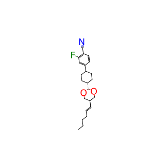 CCCC/C=C/[C@H]1CO[C@H](C2CCC(c3ccc(C#N)c(F)c3)CC2)OC1